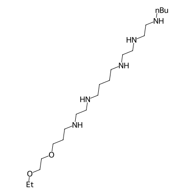 CCCCNCCNCCNCCCCNCCNCCCOCCOCC